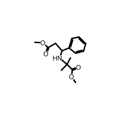 COC(=O)CC(NC(C)(C)C(=O)OC)c1ccccc1